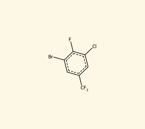 Fc1c(Cl)cc(C(F)(F)F)cc1Br